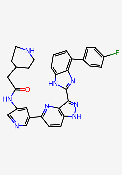 O=C(CC1CCNCC1)Nc1cncc(-c2ccc3[nH]nc(-c4nc5c(-c6ccc(F)cc6)cccc5[nH]4)c3n2)c1